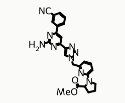 COC(=O)C1CCCN1c1cccc(Cn2cc(-c3cc(-c4cccc(C#N)c4)nc(N)n3)nn2)n1